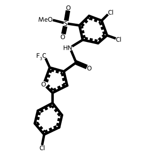 COS(=O)(=O)c1cc(Cl)c(Cl)cc1NC(=O)c1cc(-c2ccc(Cl)cc2)oc1C(F)(F)F